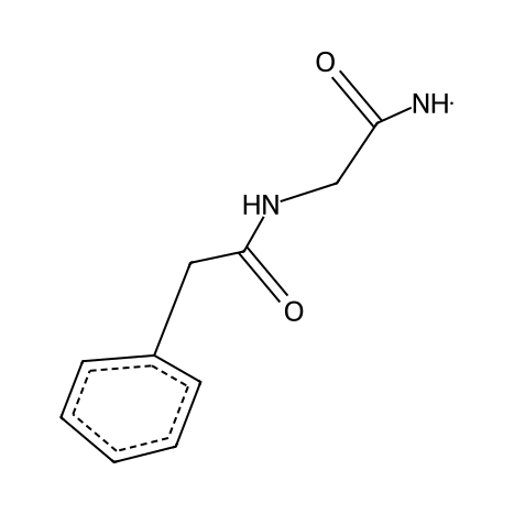 [NH]C(=O)CNC(=O)Cc1ccccc1